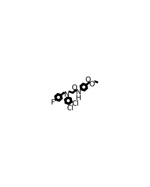 CCOC(=O)c1ccc(NC(=O)CCN(Cc2ccc(F)cc2)c2ccc(Cl)c(Cl)c2)cc1